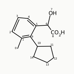 Cc1cccc(C(O)C(=O)O)c1C1CCCC1